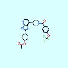 CC(=O)O[C@H]1CC[C@H](c2nc3c(C4CCN(C(=O)c5ccc(OC(F)(F)F)cc5)CC4)ccnc3[nH]2)CC1